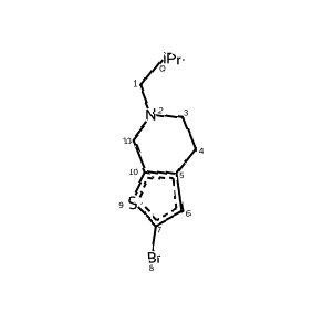 C[C](C)CN1CCc2cc(Br)sc2C1